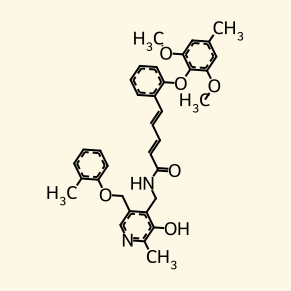 COc1cc(C)cc(OC)c1Oc1ccccc1C=CC=CC(=O)NCc1c(COc2ccccc2C)cnc(C)c1O